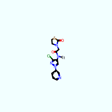 CCN(C(=O)CN1CCSC1=O)c1cn(-c2cccnc2)nc1Cl